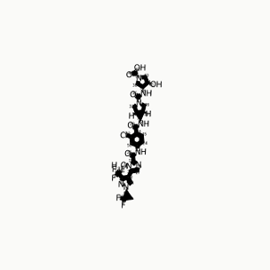 Cn1c(-c2cn([C@@H]3CC3(F)F)nc2C(F)(F)F)cnc1C(=O)Nc1ccc(C(=O)N[C@H]2[C@@H]3CN(C(=O)N[C@@H]4CN(C(=O)O)C[C@H]4O)C[C@@H]32)c(Cl)c1